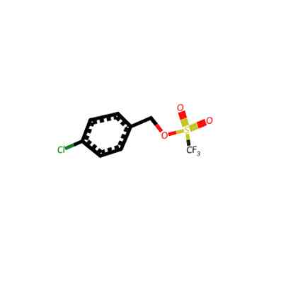 O=S(=O)(OCc1ccc(Cl)cc1)C(F)(F)F